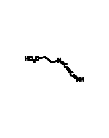 N=C=C=NCCC(=O)O